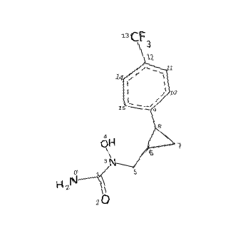 NC(=O)N(O)CC1CC1c1ccc(C(F)(F)F)cc1